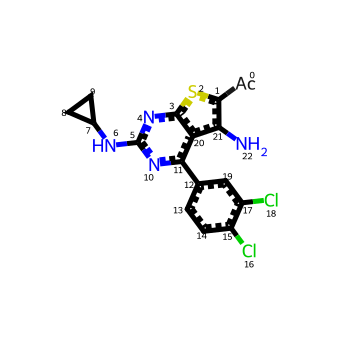 CC(=O)c1sc2nc(NC3CC3)nc(-c3ccc(Cl)c(Cl)c3)c2c1N